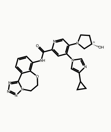 O=C(Nc1cccc2c1OCCn1nnnc1-2)c1cc(-n2cnc(C3CC3)c2)c(N2CC[C@H](O)C2)cn1